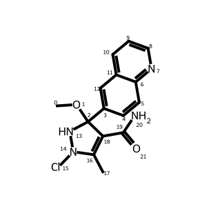 COC1(c2ccc3ncccc3c2)NN(Cl)C(C)=C1C(N)=O